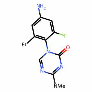 CCc1cc(N)cc(F)c1-n1cnc(NC)nc1=O